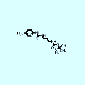 Cc1ccc(NC(=S)NCCCNC(=O)OC(C)(C)C)nc1